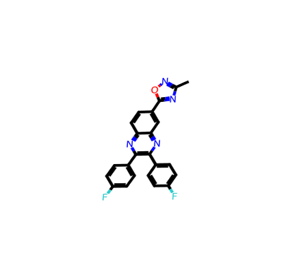 Cc1noc(-c2ccc3nc(-c4ccc(F)cc4)c(-c4ccc(F)cc4)nc3c2)n1